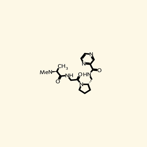 CN[C@@H](C)C(=O)NCC(=O)N1CCC[C@H]1CNC(=O)c1cnccn1